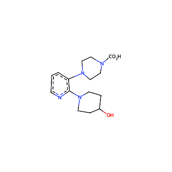 O=C(O)N1CCN(c2cccnc2N2CCC(O)CC2)CC1